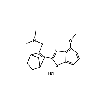 COc1cccc2sc(C3=C(CN(C)C)C4CCC3C4)nc12.Cl